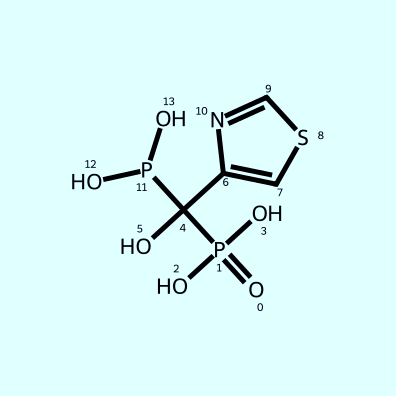 O=P(O)(O)C(O)(c1cscn1)P(O)O